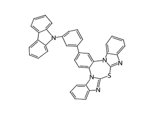 c1cc(-c2ccc3c(c2)n2c(nc4ccccc42)sc2nc4ccccc4n23)cc(-n2c3ccccc3c3ccccc32)c1